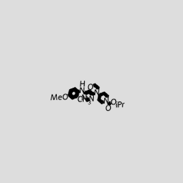 COc1ccc(Nc2ncnc3c2OCCN3C2CCN(C(=O)OC(C)C)CC2)c(C)c1